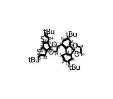 CC(C)(C)c1ccc2c(c1)C1(OCCO1)c1cc(C(C)(C)C)cc(C3COC4(O3)c3cc(C(C)(C)C)sc3-c3sc(C(C)(C)C)cc34)c1-2